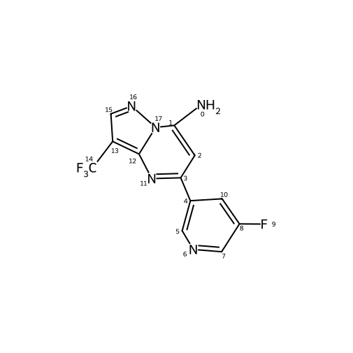 Nc1cc(-c2cncc(F)c2)nc2c(C(F)(F)F)cnn12